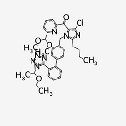 CCCCc1nc(Cl)c(C(=O)c2cccc(C(OC)OC)n2)n1Cc1ccc(-c2ccccc2-c2nnnn2C(C)OCC)cc1